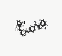 CC1(CC2CCN(C(=O)c3c[nH]c4ccccc34)CC2)OCN=C(N[C@H]2C[C@@H]3CC[C@H]2C3)S1